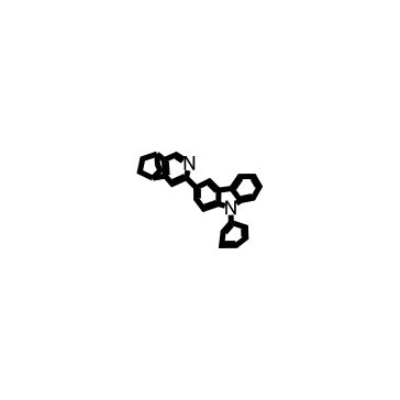 c1ccc(-n2c3ccccc3c3cc(-c4cc5c(cn4)C4CCC5CC4)ccc32)cc1